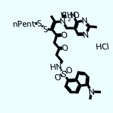 CCCCCSSC(C(=O)CC(=O)CCNS(=O)(=O)c1cccc2c(N(C)C)cccc12)=C(C)N(C=O)Cc1cnc(C)nc1N.Cl